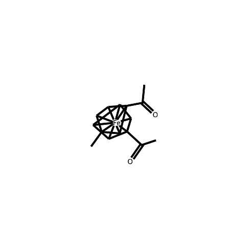 CC(=O)[C]12[CH]3[CH]4[CH]5[CH]1[Fe]45321678[CH]2[CH]1[C]6(C(C)=O)[CH]7[C]28C